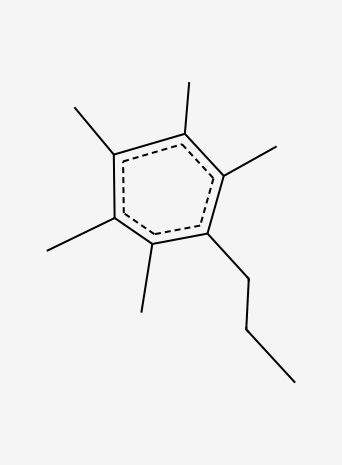 CCCc1c(C)c(C)c(C)c(C)c1C